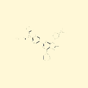 CC(C)(C)OC(=O)N(C(=O)OC(C)(C)C)c1ncc(-c2nc(N3CCOCC3)c3nc(Cl)n([C@H]4CCN(NC(=O)O)C4)c3n2)cn1